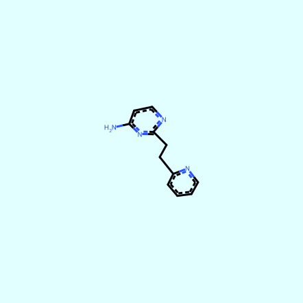 Nc1ccnc(CCc2ccccn2)n1